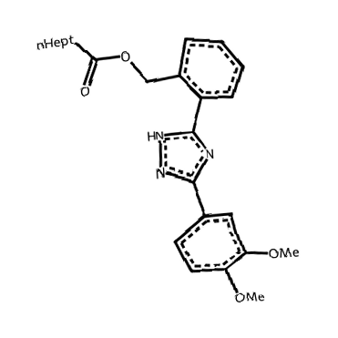 CCCCCCCC(=O)OCc1ccccc1-c1nc(-c2ccc(OC)c(OC)c2)n[nH]1